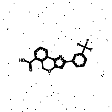 O=C(O)c1cccc2c1COc1cc(-c3cccc(C(F)(F)F)c3)nn1-2